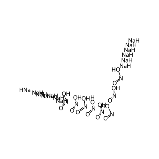 O=NO.O=NO.O=NO.O=NO.O=NO.O=NO.O=NO.O=NO.[NaH].[NaH].[NaH].[NaH].[NaH].[NaH].[NaH].[NaH].[NaH].[NaH].[NaH].[NaH].[NaH]